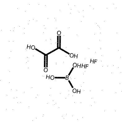 F.F.O=C(O)C(=O)O.OB(O)O